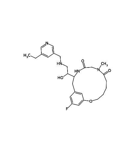 CCc1cncc(CNCC(O)C2Cc3cc(F)cc(c3)OCCCCC(=O)N(C)CC(=O)N2)c1